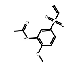 C=CS(=O)(=O)c1ccc(OC)c(NC(C)=O)c1